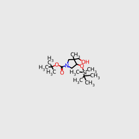 CC(C)(C)OC(=O)N1CC(O[Si](C)(C)C(C)(C)C)C(C)(CO)C1